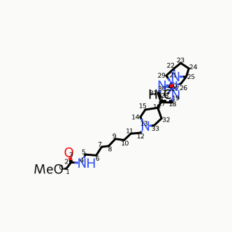 COCC(=O)NCCCCCCCCN1CCC(c2cnc(N3C4CCC3CN(C)C4)nc2)CC1